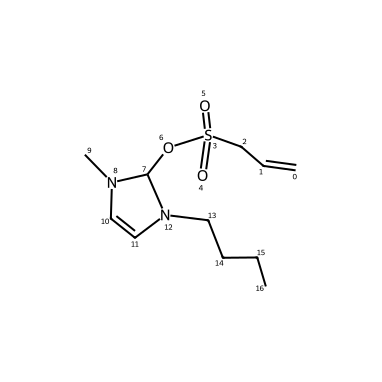 C=CCS(=O)(=O)OC1N(C)C=CN1CCCC